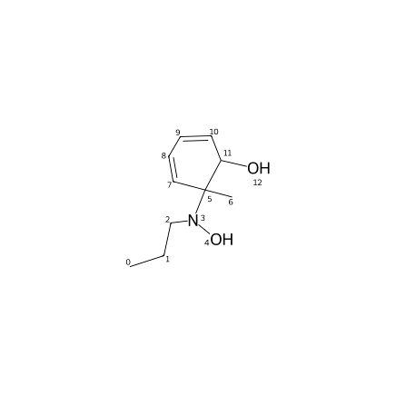 CCCN(O)C1(C)C=CC=CC1O